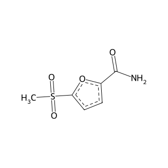 CS(=O)(=O)c1ccc(C(N)=O)o1